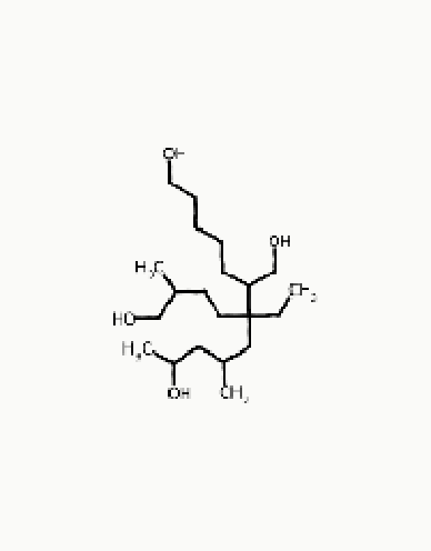 CCC(CCC(C)CO)(CC(C)CC(C)O)C(CO)CCCCCO